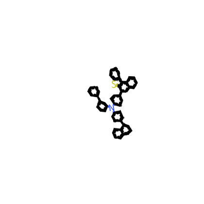 c1ccc(-c2cccc(N(c3ccc(-c4cccc5ccccc45)cc3)c3ccc(-c4cc5ccccc5c5c4sc4ccccc45)cc3)c2)cc1